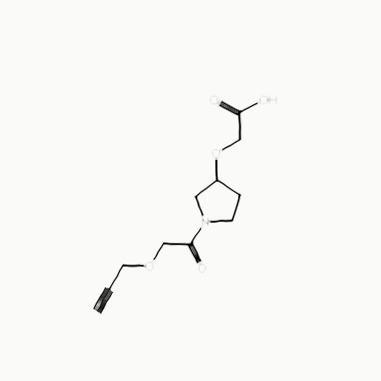 C#CCOCC(=O)N1CCC(OCC(=O)O)C1